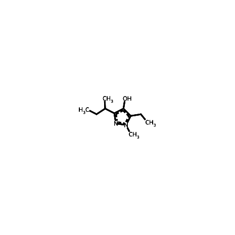 CCc1c(O)c(C(C)CC)nn1C